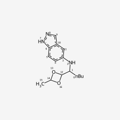 CCCCC(Nc1ccc2[nH]ncc2c1)C1OC(C)O1